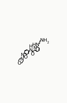 NCCNc1cccc(C(=O)Nc2ccc3nc(N4CCOCC4)oc3c2)n1